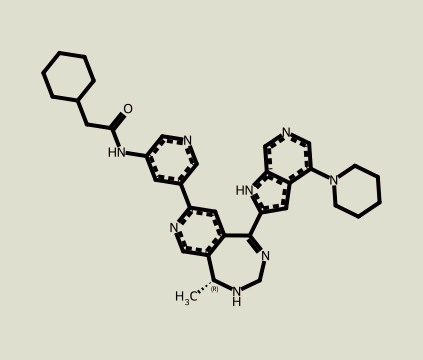 C[C@H]1NCN=C(c2cc3c(N4CCCCC4)cncc3[nH]2)c2cc(-c3cncc(NC(=O)CC4CCCCC4)c3)ncc21